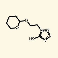 Sc1nnnn1CCOC1CCCCO1